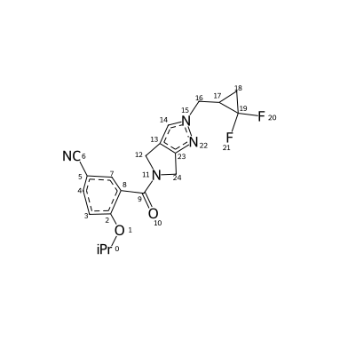 CC(C)Oc1ccc(C#N)cc1C(=O)N1Cc2cn(CC3CC3(F)F)nc2C1